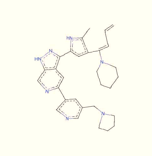 C=C/C=C(\c1cc(-c2n[nH]c3cnc(-c4cncc(CN5CCCC5)c4)cc23)[nH]c1C)N1CCCCC1